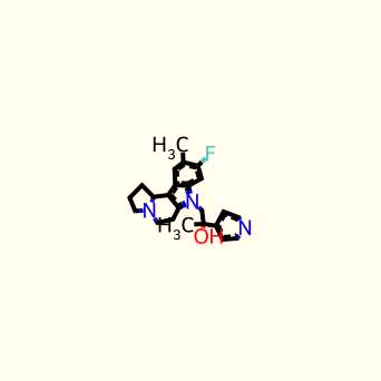 Cc1cc2c3c(n(CC(C)(O)c4ccncc4)c2cc1F)CCN1CCCC31